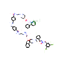 CN(Cc1ccc(C(=O)N(C)CCCN(C)C(=O)CO[C@H]2Cc3ccccc3C23CCN(CC[C@]2(c4ccc(F)cc4)CN(C(=O)c4cc(C(F)(F)F)cc(C(F)(F)F)c4)CO2)CC3)cc1)Cc1ccc(C(=O)N(C)CCN2CCC(OC(=O)Nc3ccccc3-c3ccccc3)CC2)cc1.Cl.Cl.Cl